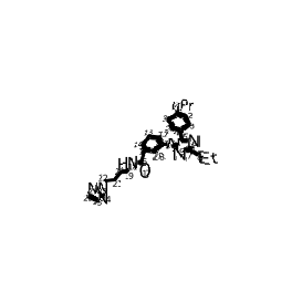 CCCc1ccc(-c2nc(CC)nn2-c2cccc(C(=O)NCCCCn3nccn3)c2)cc1